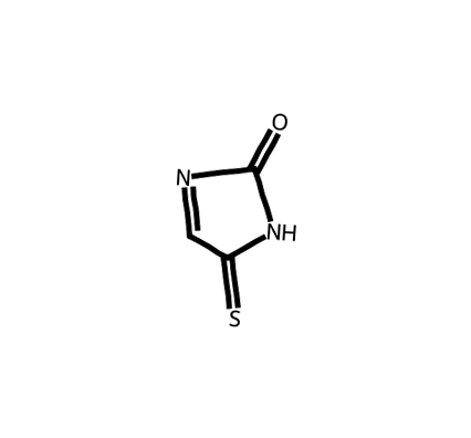 O=C1N=CC(=S)N1